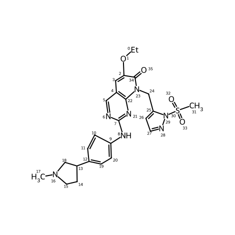 CCOc1cc2cnc(Nc3ccc(C4CCN(C)C4)cc3)nc2n(Cc2ccnn2S(C)(=O)=O)c1=O